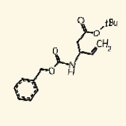 C=CC(CC(=O)OC(C)(C)C)NC(=O)OCc1ccccc1